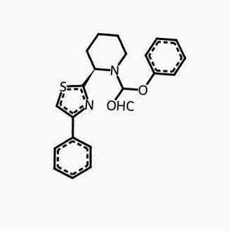 O=CC(Oc1ccccc1)N1CCCC[C@@H]1c1nc(-c2ccccc2)cs1